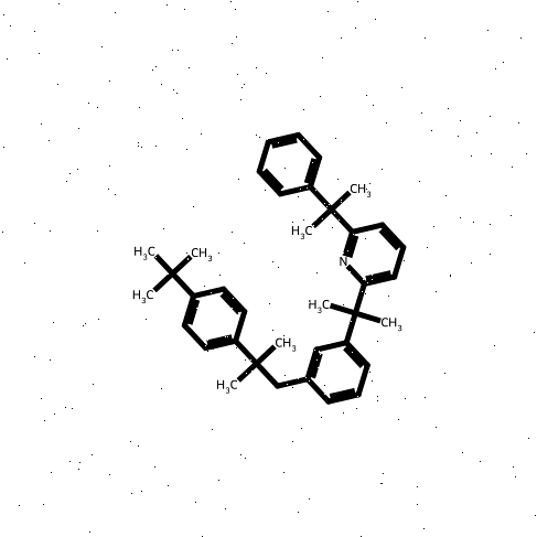 CC(C)(C)c1ccc(C(C)(C)Cc2cccc(C(C)(C)c3cccc(C(C)(C)c4ccccc4)n3)c2)cc1